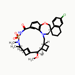 CO[C@H]1C2=C[C@@H](C2)[C@H](C)N(C)S(=O)(=O)NC(=O)c2ccc3c(c2)N(C[C@@H]2CC[C@H]21)C[C@@]1(CCCc2cc(Cl)ccc21)CO3